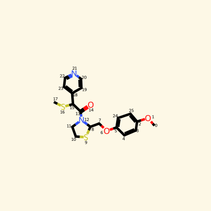 COc1ccc(OCC2SCCN2C(=O)C(SC)c2ccncc2)cc1